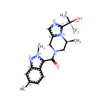 C[C@H]1CN(C(=O)c2c3ccc(C#N)cc3nn2C)Cc2cnc([C@@](C)(O)C(F)(F)F)n21